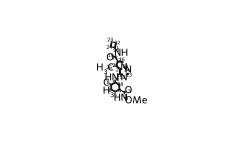 CONC(=O)c1ccc(C)c(Nc2ncnn3cc(C(=O)NC4=CC=C4)c(C)c23)c1